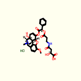 COc1ccc2c3c1O[C@H]1C(OC(=O)[C@H](OC(=O)CCNC(=O)C[C@H](O)C(=O)O)c4ccccc4)=CC[C@@]4(O)[C@@H](C2)N(C)CC[C@]314.Cl